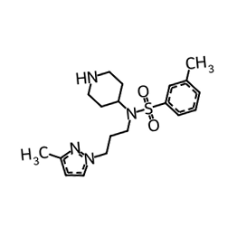 Cc1cccc(S(=O)(=O)N(CCCn2ccc(C)n2)C2CCNCC2)c1